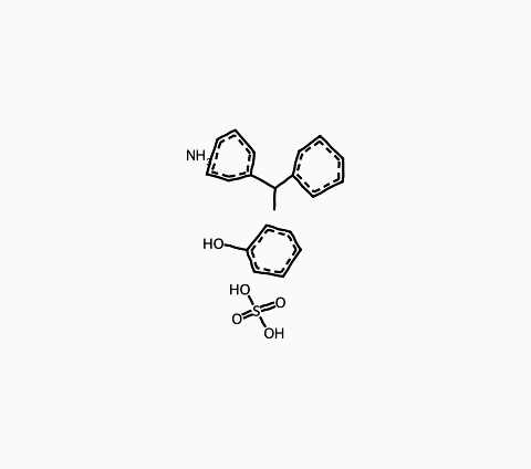 CC(c1ccccc1)c1ccccc1.N.O=S(=O)(O)O.Oc1ccccc1